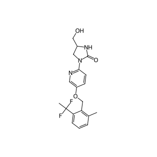 Cc1cccc(C(C)(F)F)c1COc1ccc(N2CC(CO)NC2=O)nc1